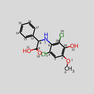 COc1cc(Cl)c(NC(C(=O)O)c2ccccc2)c(Cl)c1O